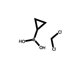 ClCCl.OB(O)C1CC1